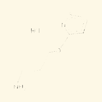 Cl.NCCCOc1ccsn1